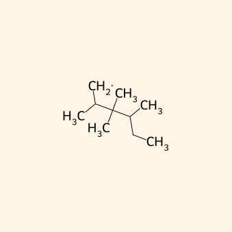 [CH2]C(C)C(C)(C)C(C)CC